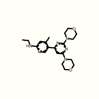 CCNc1cc(C)c(-c2cc(N3CCOCC3)nc(N3CCOCC3)n2)cn1